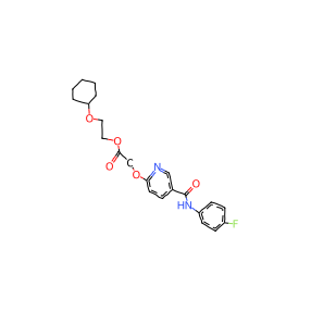 O=C(COc1ccc(C(=O)Nc2ccc(F)cc2)cn1)OCCOC1CCCCC1